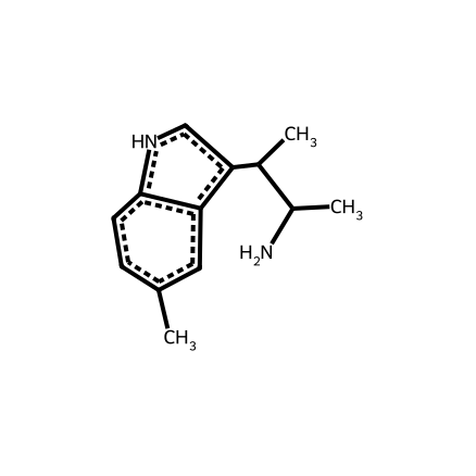 Cc1ccc2[nH]cc(C(C)C(C)N)c2c1